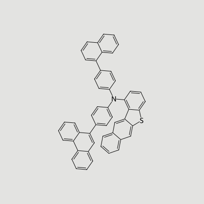 c1ccc2cc3c(cc2c1)sc1cccc(N(c2ccc(-c4cccc5ccccc45)cc2)c2ccc(-c4cc5ccccc5c5ccccc45)cc2)c13